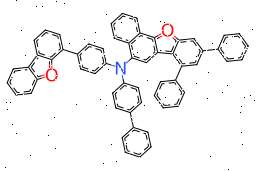 c1ccc(-c2ccc(N(c3ccc(-c4cccc5c4oc4ccccc45)cc3)c3cc4c(oc5cc(-c6ccccc6)cc(-c6ccccc6)c54)c4ccccc34)cc2)cc1